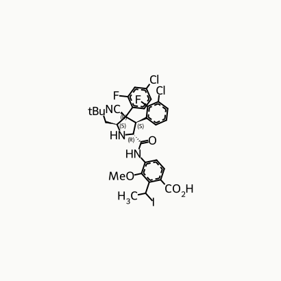 COc1c(NC(=O)[C@@H]2N[C@@H](CC(C)(C)C)[C@](C#N)(c3ccc(Cl)cc3F)[C@H]2c2cccc(Cl)c2F)ccc(C(=O)O)c1C(C)I